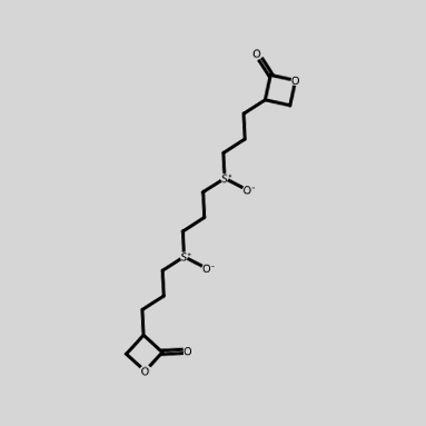 O=C1OCC1CCC[S+]([O-])CCC[S+]([O-])CCCC1COC1=O